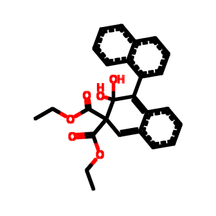 CCOC(=O)C1(C(=O)OCC)C=c2ccccc2=C(c2cccc3ccccc23)C1(O)O